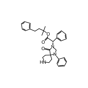 CC(C)(CCc1ccccc1)OC(=O)[C@@H](c1ccccc1)N1CN(c2ccccc2)C2(CCNCC2)C1=O